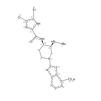 CCCCN[C@H]1CN(c2nc3cccc(C(=O)O)c3s2)CC[C@H]1NC(=O)c1nc(Cl)c(CC)[nH]1